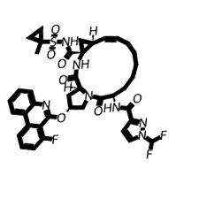 CC1(S(=O)(=O)NC(=O)[C@@]23C[C@H]2/C=C\CCCCC[C@H](NC(=O)c2ccn(C(F)F)n2)C(=O)N2C[C@H](Oc4nc5ccccc5c5cccc(F)c45)C[C@H]2C(=O)N3)CC1